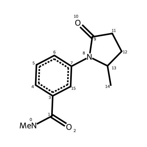 CNC(=O)c1cccc(N2C(=O)CCC2C)c1